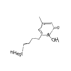 CCCCCCCCCCCc1cc(C)cc(=O)n1O